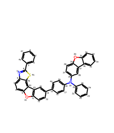 c1ccc(-c2nc3ccc4oc5ccc(-c6ccc(N(c7ccccc7)c7ccc8oc9ccccc9c8c7)cc6)cc5c4c3s2)cc1